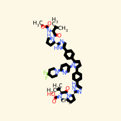 COC(=O)N[C@H](C(=O)N1CCC[C@H]1c1ncc(-c2ccc(-c3ccc(-c4ccc(-c5cnc([C@@H]6CCCN6C(=O)[C@H](C(C)C)N(C)C(=O)O)[nH]5)cc4)n3-c3ccc(N4CCC(F)(F)CC4)nc3)cc2)[nH]1)C(C)C